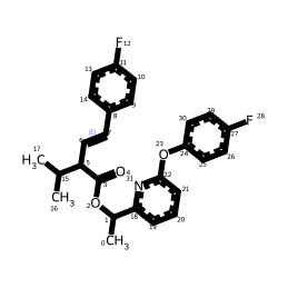 CC(OC(=O)C(/C=C/c1ccc(F)cc1)C(C)C)c1cccc(Oc2ccc(F)cc2)n1